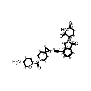 N[C@@H]1CC[C@@H](C(=O)N2CCC3(CC2)C[C@@H]3C#Cc2cccc3c2CN(C2CCC(=O)NC2=O)C3=O)OC1